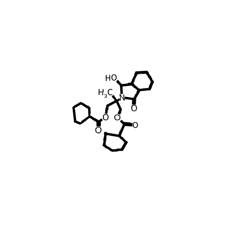 CC(COC(=O)C1CCCCC1)(COC(=O)C1CCCCC1)N1C(=O)C2CCCCC2C1O